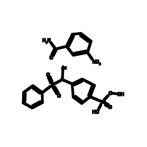 CC(=O)N(c1ccc([As](=O)(O)OO)cc1)S(=O)(=O)c1ccccc1.NC(=O)c1cccc([N+](=O)[O-])c1